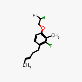 C/C=C/CCc1ccc(OCC(F)CC)c(C)c1F